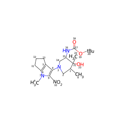 CC1CN(c2c3c(n(C)c2[N+](=O)[O-])CCC3)CC(NC(=O)OC(C)(C)C)C1(C)O